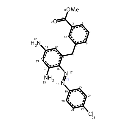 COC(=O)c1cccc(Cc2cc(N)nc(N)c2/N=N/c2ccc(Cl)cc2)c1